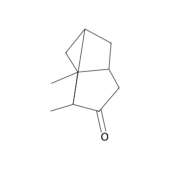 CC12CC3CC1CC(=O)C32C